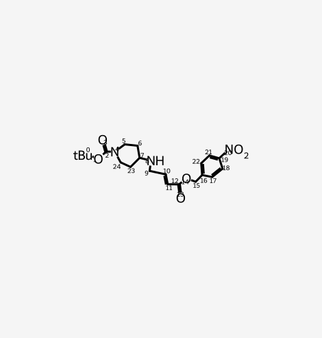 CC(C)(C)OC(=O)N1CCC(NCC=CC(=O)OCc2ccc([N+](=O)[O-])cc2)CC1